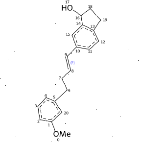 COc1cccc(CC/C=C/c2ccc3c(c2)C(O)CC3)c1